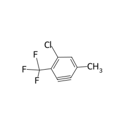 Cc1c#cc(C(F)(F)F)c(Cl)c1